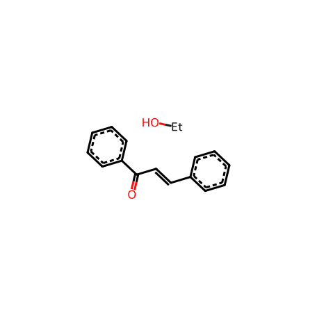 CCO.O=C(/C=C/c1ccccc1)c1ccccc1